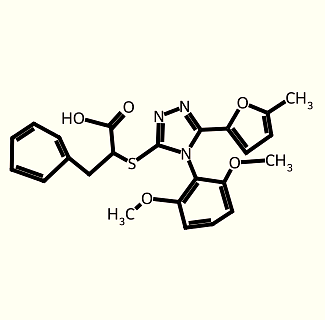 COc1cccc(OC)c1-n1c(SC(Cc2ccccc2)C(=O)O)nnc1-c1ccc(C)o1